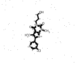 Cc1c(-c2cncc(Cl)c2)sc2c1c(=O)n(CCCO)c(=O)n2C